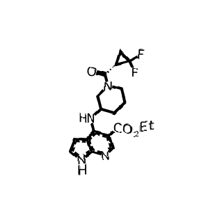 CCOC(=O)c1cnc2[nH]ccc2c1NC1CCCN(C(=O)[C@@H]2CC2(F)F)C1